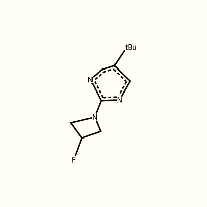 CC(C)(C)c1cnc(N2CC(F)C2)nc1